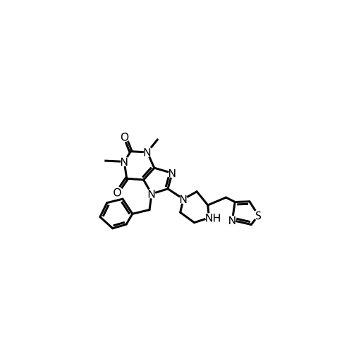 Cn1c(=O)c2c(nc(N3CCNC(Cc4cscn4)C3)n2Cc2ccccc2)n(C)c1=O